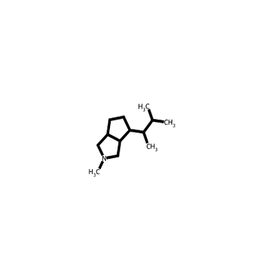 CC(C)C(C)C1CCC2CN(C)CC21